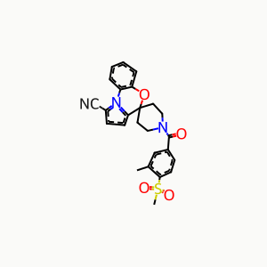 Cc1cc(C(=O)N2CCC3(CC2)Oc2ccccc2-n2c(C#N)ccc23)ccc1S(C)(=O)=O